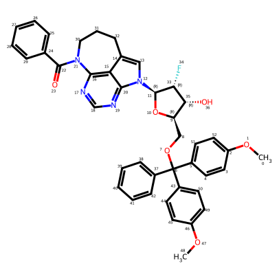 COc1ccc(C(OC[C@H]2O[C@@H](n3cc4c5c(ncnc53)N(C(=O)c3ccccc3)CCC4)[C@H](F)[C@@H]2O)(c2ccccc2)c2ccc(OC)cc2)cc1